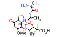 COC1CC(=O)C2CCN(C(=O)[C@H](C)NC(=O)[C@H](C)N)[C@@]2(C(=O)NC(C(C)C)C(O)C(F)(F)C(=O)O)C1=O